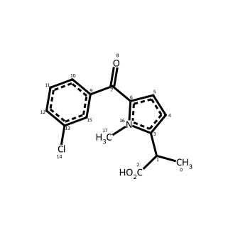 CC(C(=O)O)c1ccc(C(=O)c2cccc(Cl)c2)n1C